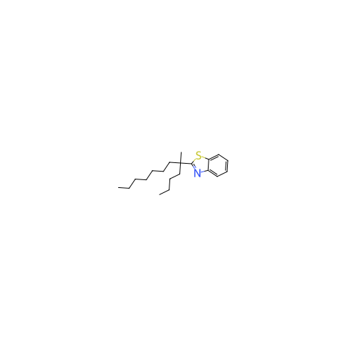 CCCCCCCC(C)(CCCC)c1nc2ccccc2s1